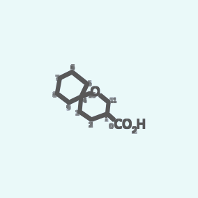 O=C(O)C1CCC2(CCCCC2)OC1